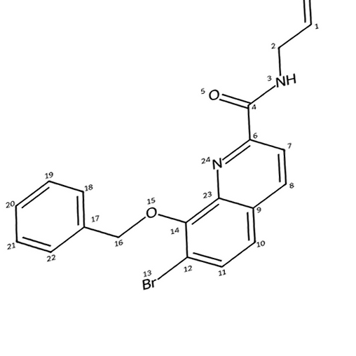 O=CCNC(=O)c1ccc2ccc(Br)c(OCc3ccccc3)c2n1